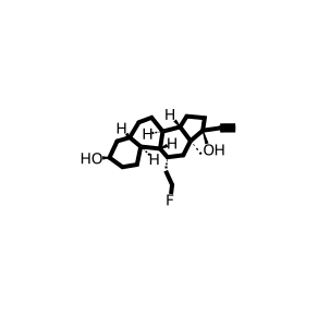 C#C[C@@]1(O)CC[C@H]2[C@@H]3CC[C@H]4C[C@H](O)CC[C@@H]4[C@H]3[C@@H](CCF)C[C@@]21C